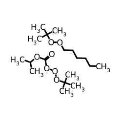 CC(C)OC(=O)OOOC(C)(C)C.CCCCCCOOC(C)(C)C